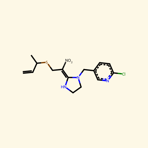 C=CC(C)SC/C(=C1\NCCN1Cc1ccc(Cl)nc1)[N+](=O)[O-]